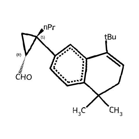 CCC[C@]1(c2ccc3c(c2)C(C(C)(C)C)=CCC3(C)C)C[C@H]1C=O